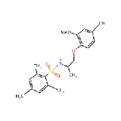 COc1cc(C#N)ccc1OCC(C)NS(=O)(=O)c1c(C)cc(C)cc1C